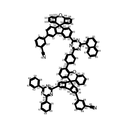 N#Cc1cccc(-c2ccc3c(c2)-c2cc(-c4nc(-c5ccc(-c6cccc7c6Oc6ccccc6C76c7ccc(-c8cccc(C#N)c8)cc7-c7cc(-c8nc(-c9ccccc9)nc(-c9ccccc9)n8)ccc76)cc5)nc(-c5cccc6ccccc56)n4)ccc2C32c3ccccc3Oc3ccccc32)c1